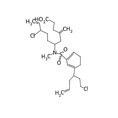 C=CCC(CCCl)C1=CC(S(=O)(=O)N(C)C(CCC(Cl)C=C)CC(=C)CCC(=O)O)=CCC1